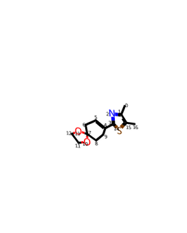 Cc1nc(C2=CCC3(CC2)OCCO3)sc1C